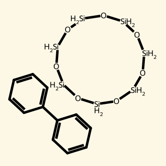 O1[SiH2]O[SiH2]O[SiH2]O[SiH2]O[SiH2]O[SiH2]O[SiH2]1.c1ccc(-c2ccccc2)cc1